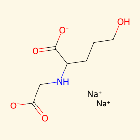 O=C([O-])CNC(CCCO)C(=O)[O-].[Na+].[Na+]